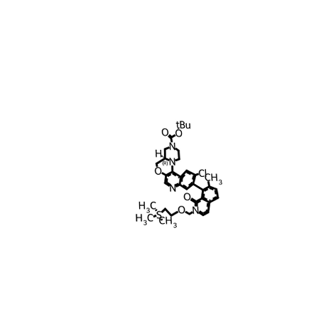 Cc1ccc2ccn(COCCS(C)(C)C)c(=O)c2c1-c1cc2ncc3c(c2cc1Cl)N1CCN(C(=O)OC(C)(C)C)C[C@@H]1CO3